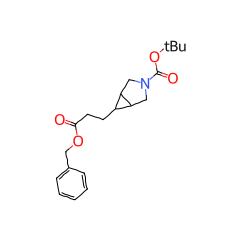 CC(C)(C)OC(=O)N1CC2C(CCC(=O)OCc3ccccc3)C2C1